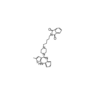 Cc1cc2c(s1)Nc1ccccc1N=C2N1CCN(CCCCCN2C(=O)c3ccccc3C2=O)CC1